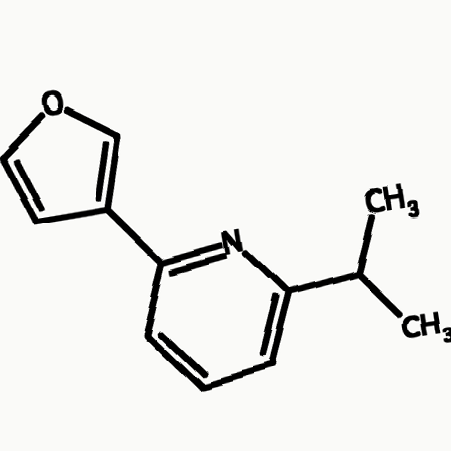 CC(C)c1cccc(-c2ccoc2)n1